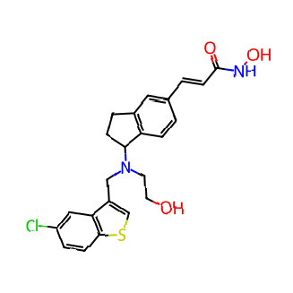 O=C(C=Cc1ccc2c(c1)CCC2N(CCO)Cc1csc2ccc(Cl)cc12)NO